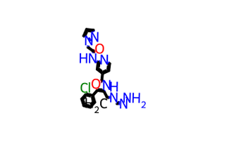 C=C(N/C=N\N)c1nc(-c2ccnc(NC(=O)Cn3cccn3)c2)oc1-c1ccccc1Cl